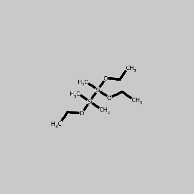 CCO[Si](C)(C)[Si](C)(OCC)OCC